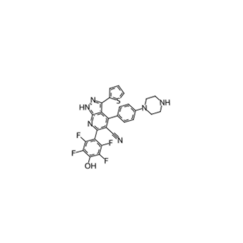 N#Cc1c(-c2c(F)c(F)c(O)c(F)c2F)nc2[nH]nc(-c3cccs3)c2c1-c1ccc(N2CCNCC2)cc1